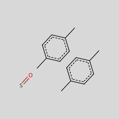 Cc1ccc(C)cc1.Cc1ccc(C)cc1.O=S